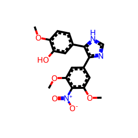 COc1ccc(-c2[nH]cnc2-c2cc(OC)c([N+](=O)[O-])c(OC)c2)cc1O